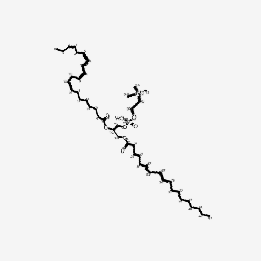 CC/C=C\C/C=C\C/C=C\C/C=C\CCCCCCC(=O)O[C@H](COC(=O)CCCCCCCCCCCCCCCCC)COP(=O)(O)OCC[N+](C)(C)C